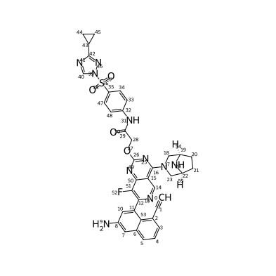 C#Cc1cccc2cc(N)cc(-c3ncc4c(N5C[C@H]6CC[C@@H](C5)N6)nc(OCC(=O)Nc5ccc(S(=O)(=O)n6cnc(C7CC7)n6)cc5)nc4c3F)c12